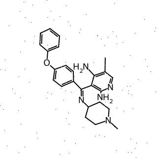 Cc1cnc(N)c(/C(=N\C2CCN(C)CC2)c2ccc(Oc3ccccc3)cc2)c1N